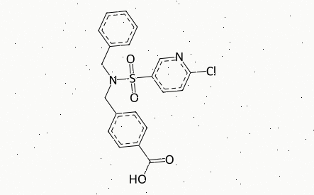 O=C(O)c1ccc(CN(Cc2ccccc2)S(=O)(=O)c2ccc(Cl)nc2)cc1